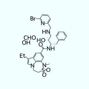 CCc1cn2c3c(cc(C(=O)N[C@@H](Cc4ccccc4)[C@H](O)CNCc4cccc(Br)n4)cc13)N(C)S(=O)(=O)CC2.O=CO